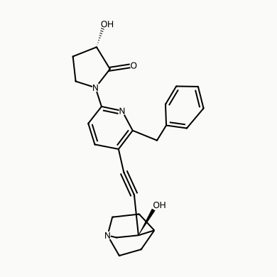 O=C1[C@@H](O)CCN1c1ccc(C#C[C@@]2(O)CN3CCC2CC3)c(Cc2ccccc2)n1